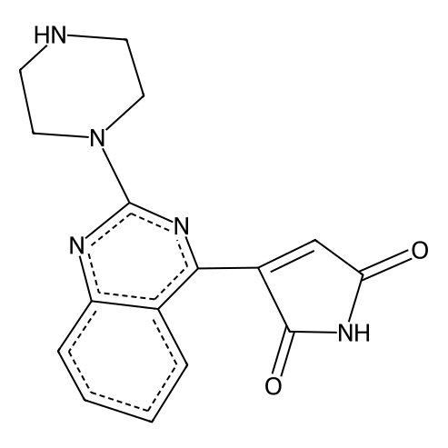 O=C1C=C(c2nc(N3CCNCC3)nc3ccccc23)C(=O)N1